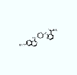 COc1ccc2c(N[C@H]3CC[C@H](Oc4ncccc4C(N)=O)CC3)nccc2c1